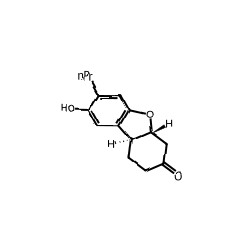 CCCc1cc2c(cc1O)[C@@H]1CCC(=O)C[C@H]1O2